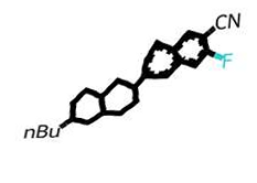 CCCCC1CCC2CC(c3ccc4cc(C#N)c(F)cc4c3)CCC2C1